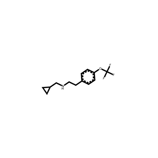 FC(F)(F)Oc1ccc(CCNCC2CC2)cc1